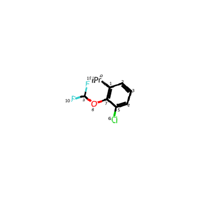 CC(C)c1cccc(Cl)c1OC(F)F